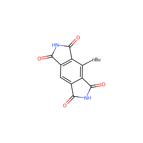 CCCCc1c2c(=O)[nH]c(=O)c2cc2c(=O)[nH]c(=O)c12